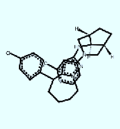 FC(F)(F)c1cc(N2C[C@H]3CC[C@@H](C2)[C@@H]3Nc2nc3n(n2)CCCCC3c2ccc(Cl)cc2)ccn1